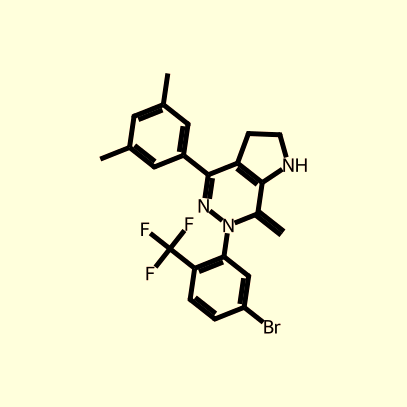 C=C1C2=C(CCN2)C(c2cc(C)cc(C)c2)=NN1c1cc(Br)ccc1C(F)(F)F